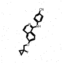 N#Cc1ccc(Nc2nccc3cc(OCC4(F)CC4)ccc23)cc1